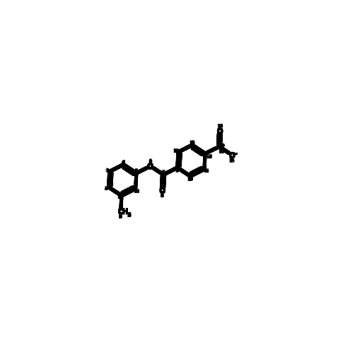 Cc1cccc(OC(=O)c2ccc([N+](=O)[O-])cc2)c1